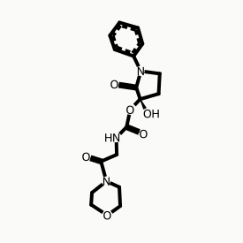 O=C(NCC(=O)N1CCOCC1)O[C@@]1(O)CCN(c2ccccc2)C1=O